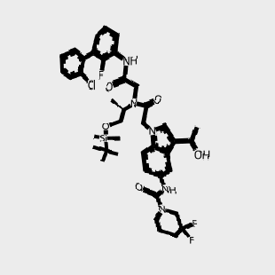 CC(O)c1cn(CC(=O)N(CC(=O)Nc2cccc(-c3ccccc3Cl)c2F)[C@H](C)CO[Si](C)(C)C(C)(C)C)c2ccc(NC(=O)N3CCCC(F)(F)C3)cc12